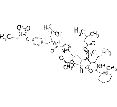 CCC(C)C(NC(=O)C1CCCCN1C)C(=O)N(COC(=O)CC(C)C)C(CC(OC(C)=O)c1nc(C(=O)NC(Cc2ccc(OC(=O)N(C)CC)cc2)CC(C)C)cs1)C(C)C